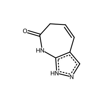 O=C1CC=Cc2cn[nH]c2N1